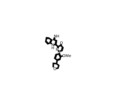 COc1cc(C2CCOCC2)ccc1-n1ccc(=O)c(/C(=C/C=N)Nc2ccccc2)n1